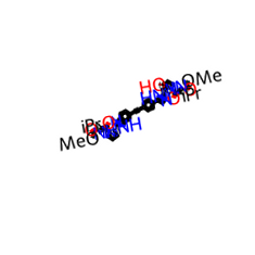 COC(=O)N[C@H](C(=O)N1CC[C@H](O)[C@H]1c1ncc(-c2ccc(C#Cc3ccc4nc([C@@H]5CCCN5C(=O)[C@@H](NC(=O)OC)C(C)C)[nH]c4c3)cc2)[nH]1)C(C)C